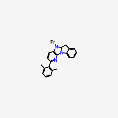 Cc1cccc(C)c1-c1ccc2c(n1)N1c3ccccc3CC1N2C(C)C